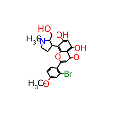 COc1ccc(-c2cc(=O)c3c(O)cc(O)c(C4CCN(C)C4CO)c3o2)c(Br)c1